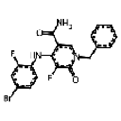 NC(=O)c1cn(Cc2ccccc2)c(=O)c(F)c1Nc1ccc(Br)cc1F